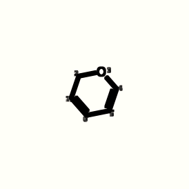 [C]1=[C]COC=[C]1